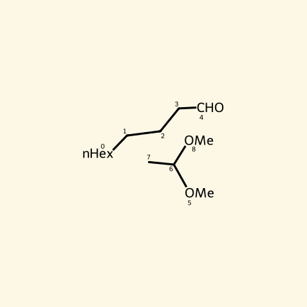 CCCCCCCCCC=O.COC(C)OC